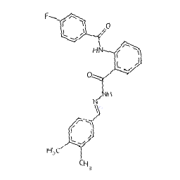 Cc1ccc(/C=N/NC(=O)c2ccccc2NC(=O)c2ccc(F)cc2)cc1C